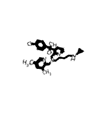 Cc1cnc(CN(CCCCNC2CC2)Cc2ncccc2C(C)(C)c2ccc(Cl)cc2)c(C)c1